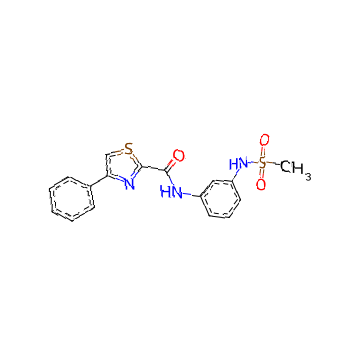 CS(=O)(=O)Nc1cccc(NC(=O)c2nc(-c3ccccc3)cs2)c1